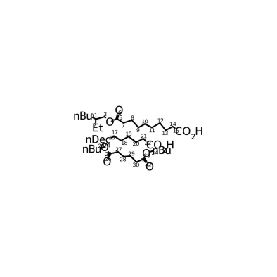 CCCCC(CC)COC(=O)CCCCCCCCC(=O)O.CCCCCCCCCCCCCCCC(=O)O.CCCCOC(=O)CCCCC(=O)OCCCC